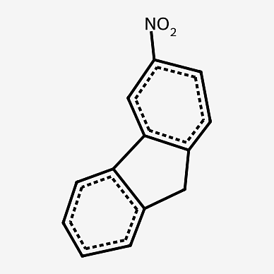 O=[N+]([O-])c1ccc2c(c1)-c1ccccc1C2